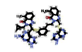 Cc1cccc2nc(C(S)c3nc(N)nc4[nH]cnc34)n(CC3CC3)c(=O)c12.Cc1cccc2nc(CSc3ncnc4[nH]cnc34)n(CCc3ccccc3)c(=O)c12